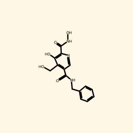 O=C(NCc1ccccc1)c1cnc(C(=O)NO)c(O)c1CO